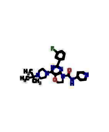 CC(C)(C)N1CCN(c2nc(-c3cccc(F)c3)nc3c2OCCN3C(=O)Nc2ccncc2)CC1